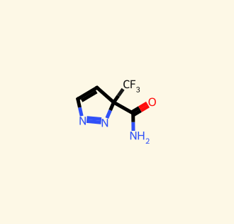 NC(=O)C1(C(F)(F)F)C=CN=N1